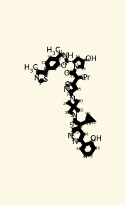 Cc1ncsc1-c1ccc([C@H](C)NC(=O)[C@@H]2C[C@@H](O)CN2C(=O)C(c2cc(N3CC4(C3)CN(c3sc5nnc(-c6ccccc6O)cc5c3C3CC3)C4)no2)C(C)C)cc1